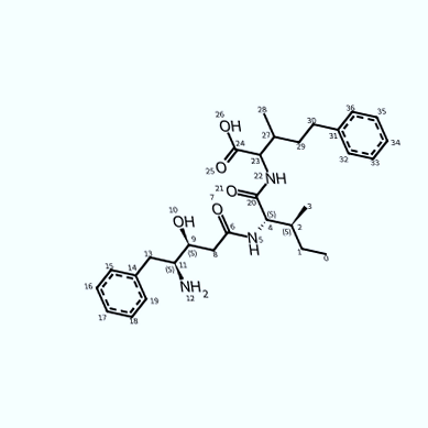 CC[C@H](C)[C@H](NC(=O)C[C@H](O)[C@@H](N)Cc1ccccc1)C(=O)NC(C(=O)O)C(C)CCc1ccccc1